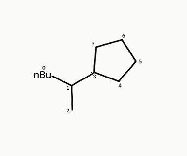 CCCCC(C)[C]1CCCC1